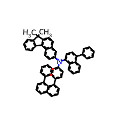 CC1(C)c2ccccc2-c2c1ccc1cc(N(c3ccc(-c4cccc5cccc(-c6ccccc6)c45)cc3)c3ccc(-c4ccccc4)c4ccccc34)ccc21